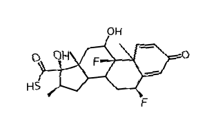 C[C@@H]1CC2C3C[C@H](F)C4=CC(=O)C=CC4(C)[C@@]3(F)C(O)CC2(C)[C@@]1(O)C(=O)S